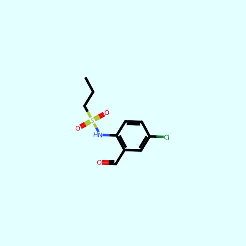 CCCS(=O)(=O)Nc1ccc(Cl)cc1C=O